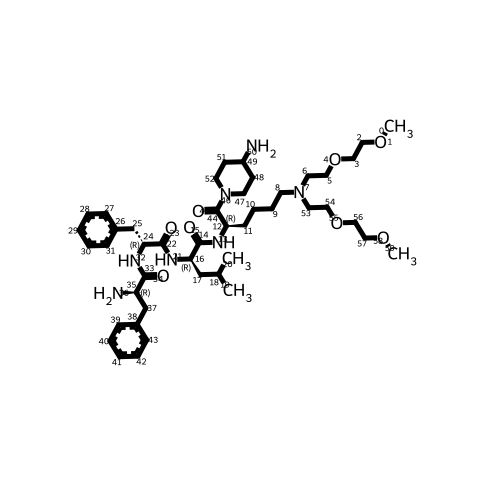 COCCOCCN(CCCC[C@@H](NC(=O)[C@@H](CC(C)C)NC(=O)[C@@H](Cc1ccccc1)NC(=O)[C@H](N)Cc1ccccc1)C(=O)N1CCC(N)CC1)CCOCCOC